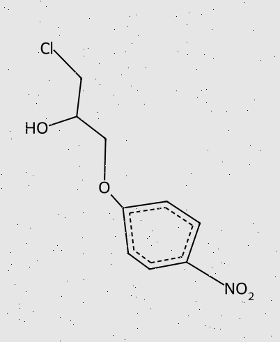 O=[N+]([O-])c1ccc(OCC(O)CCl)cc1